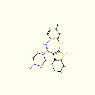 Cc1ccc2c(c1)Sc1sc3c(c1C(N1CCN(C)CC1)=N2)CCCC3